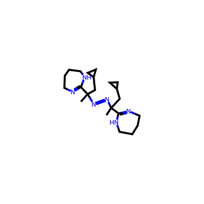 CC(CC1CC1)(N=NC(C)(CC1CC1)C1=NCCCCN1)C1=NCCCCN1